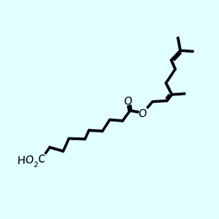 CC(C)=CCC/C(C)=C\COC(=O)CCCCCCCCC(=O)O